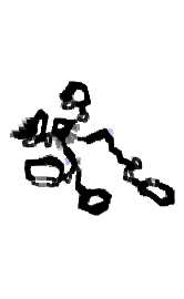 O=C(CCC/C=C\C[C@@H]1[C@@H](/C=C/[C@H](CCc2ccccc2)OC2CCCCO2)[C@H](OC2CCCCO2)C[C@@H]1OC1CCCCO1)OC1CCCCO1